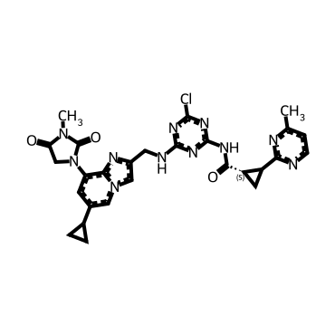 Cc1ccnc(C2C[C@@H]2C(=O)Nc2nc(Cl)nc(NCc3cn4cc(C5CC5)cc(N5CC(=O)N(C)C5=O)c4n3)n2)n1